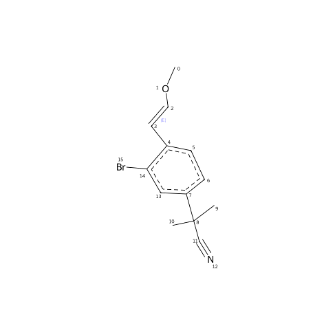 CO/C=C/c1ccc(C(C)(C)C#N)cc1Br